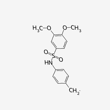 [CH2]c1ccc(NS(=O)(=O)c2ccc(OC)c(OC)c2)cc1